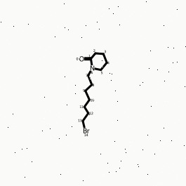 O=C1CCCCN1CCCCCCCBr